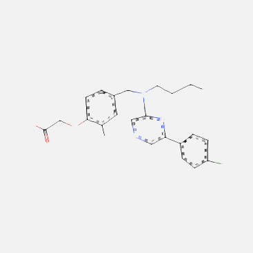 CCCCN(Cc1ccc(OCC(=O)O)c(C)c1)c1cncc(-c2ccc(Cl)cc2)n1